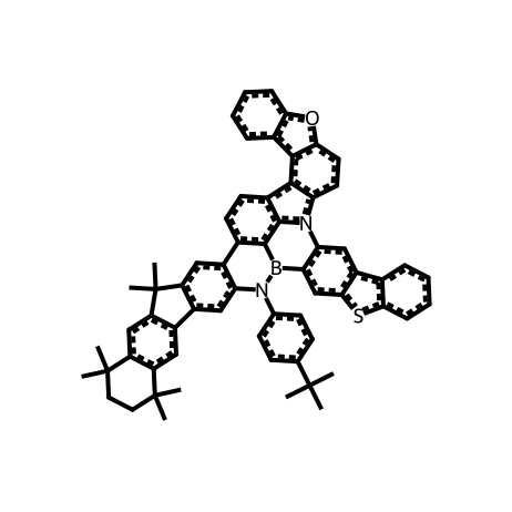 CC(C)(C)c1ccc(N2B3c4cc5sc6ccccc6c5cc4-n4c5ccc6oc7ccccc7c6c5c5ccc(c3c54)-c3cc4c(cc32)-c2cc3c(cc2C4(C)C)C(C)(C)CCC3(C)C)cc1